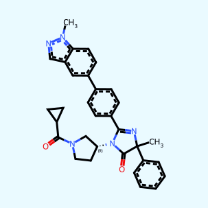 Cn1ncc2cc(-c3ccc(C4=NC(C)(c5ccccc5)C(=O)N4[C@@H]4CCN(C(=O)C5CC5)C4)cc3)ccc21